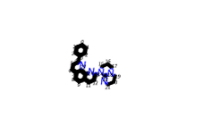 c1ccc(-c2ccc3ccc4ccc(N5CCCN6CCCN=C65)nc4c3n2)cc1